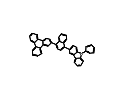 c1ccc(-n2c3ccccc3c3cc(-c4ccc(-c5ccc6c7ccccc7c7ccccc7c6c5)c5ccccc45)ccc32)cc1